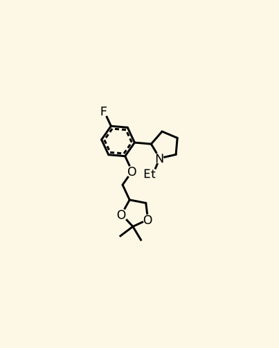 CCN1CCCC1c1cc(F)ccc1OCC1COC(C)(C)O1